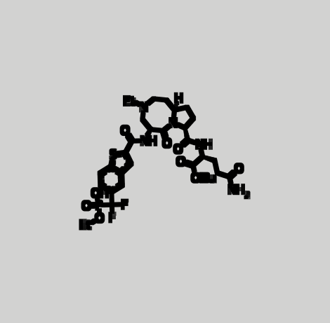 CCOP(=O)(O)C(F)(F)c1ccc2sc(C(=O)N[C@H]3CN(CC)CC[C@H]4CC[C@@H](C(=O)N[C@@H](CCC(N)=O)C(=O)OCC(C)C)N4C3=O)cc2c1